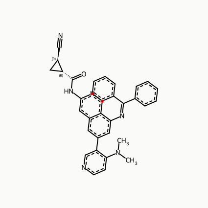 CN(C)c1ccncc1-c1cc(N=C(c2ccccc2)c2ccccc2)c2cnc(NC(=O)[C@@H]3C[C@H]3C#N)cc2c1